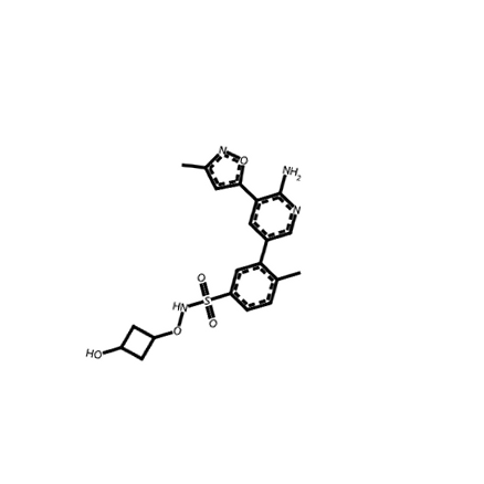 Cc1cc(-c2cc(-c3cc(S(=O)(=O)NOC4CC(O)C4)ccc3C)cnc2N)on1